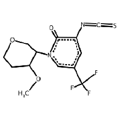 COC1CCOCC1n1cc(C(F)(F)F)cc(N=C=S)c1=O